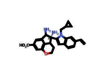 C=Cc1ccc2cc([C@]3(N)C(N)c4cc(C(=O)O)cc5c4C3CCO5)n(CC3CC3)c2c1